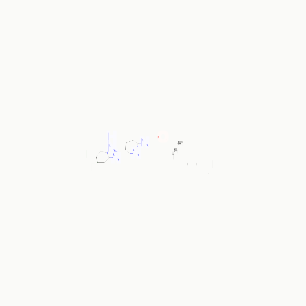 O=C(O)CC1C[C@@H]2CC(OC3CCN(c4ccc(-c5nc6cc(F)c(F)cc6[nH]5)cn4)CC3)C[C@@H]2C1